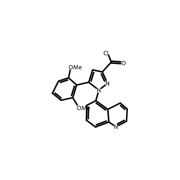 COc1cccc(OC)c1-c1cc(C(=O)Cl)nn1-c1cccc2ncccc12